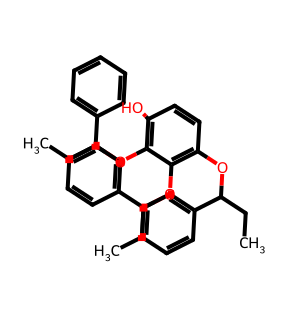 CCC(Oc1ccc(O)c(OC(CC)c2ccccc2)c1OC(CC)c1ccccc1)c1ccccc1